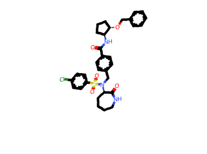 O=C(N[C@H]1CCC[C@@H]1OCc1ccccc1)c1ccc(CN([C@@H]2CCCCNC2=O)S(=O)(=O)c2ccc(Cl)cc2)cc1